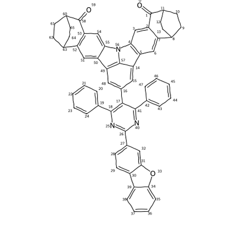 O=C1c2cc3c(cc2C2CCC1CC2)c1cc(-c2c(-c4ccccc4)nc(-c4ccc5c(c4)oc4ccccc45)nc2-c2ccccc2)cc2c4cc5c(cc4n3c12)C(=O)C1CCC5CC1